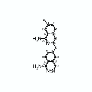 Cc1ccc2cc(Cc3ccc4c(N)nncc4c3)nc(N)c2c1